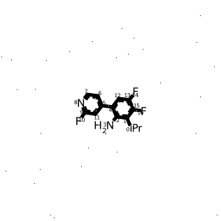 CC(C)c1c(N)c(-c2ccnc(F)c2)cc(F)c1F